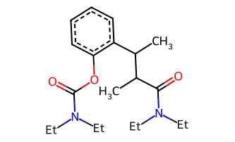 CCN(CC)C(=O)Oc1ccccc1C(C)C(C)C(=O)N(CC)CC